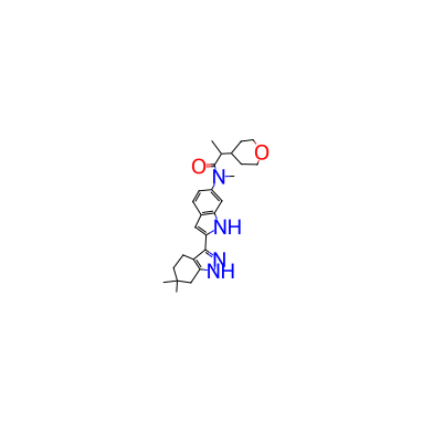 CC(C(=O)N(C)c1ccc2cc(-c3n[nH]c4c3CCC(C)(C)C4)[nH]c2c1)C1CCOCC1